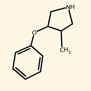 CC1CNCC1Oc1ccccc1